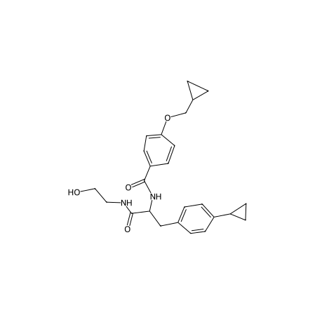 O=C(NC(Cc1ccc(C2CC2)cc1)C(=O)NCCO)c1ccc(OCC2CC2)cc1